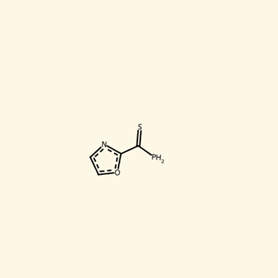 PC(=S)c1ncco1